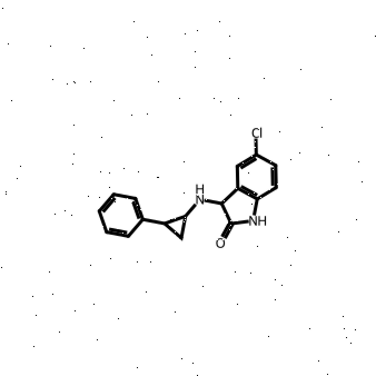 O=C1Nc2ccc(Cl)cc2C1NC1CC1c1ccccc1